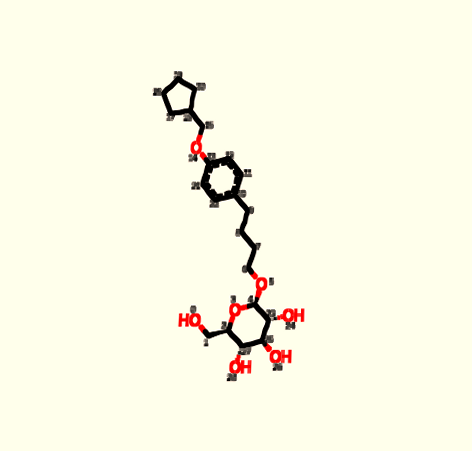 OC[C@H]1O[C@@H](OCCCCc2ccc(OCC3CCCC3)cc2)[C@H](O)[C@@H](O)[C@@H]1O